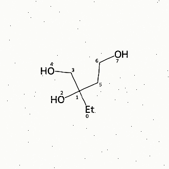 CCC(O)(CO)CCO